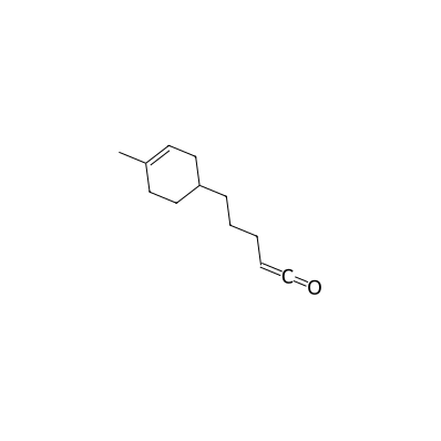 CC1=CCC(CCCC=C=O)CC1